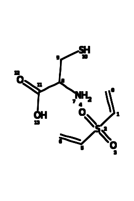 C=CS(=O)(=O)C=C.NC(CS)C(=O)O